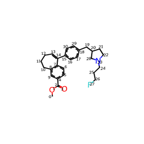 COC(=O)c1ccc2c(c1)CCCC=C2c1ccc(CC2CCN(CCCF)C2)cc1